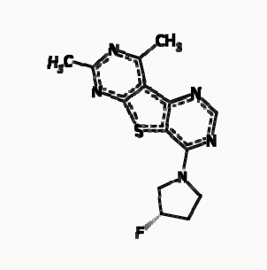 Cc1nc(C)c2c(n1)sc1c(N3CC[C@H](F)C3)ncnc12